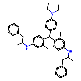 CCN(CC)c1ccc(C(c2ccc(NC(C)Cc3ccccc3)cc2C)c2ccc(NC(C)Cc3ccccc3)cc2C)cc1